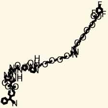 COc1cnc(-n2cnc(C(=O)N[C@H]3C[C@@H](CO)N(c4ccnc(NCCOCCOCCOCCOCc5cn(CCOCCOCCOCCOCCC(=O)Oc6c(F)cc(F)cc6F)nn5)n4)C3)n2)c2[nH]cc(C(=O)C(=O)N3CCC(=C(C#N)c4ccccc4)CC3)c12